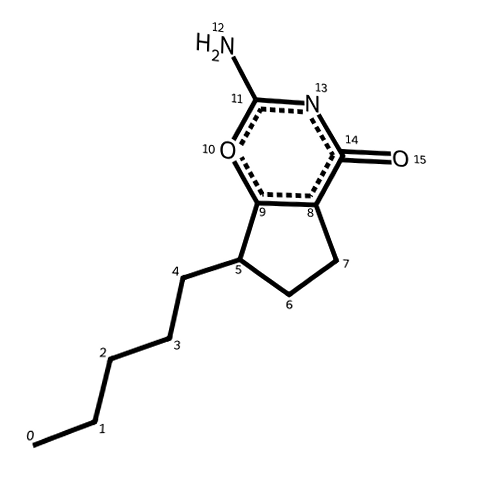 CCCCCC1CCc2c1oc(N)nc2=O